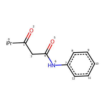 CC(C)C(=O)CC(=O)Nc1ccccc1